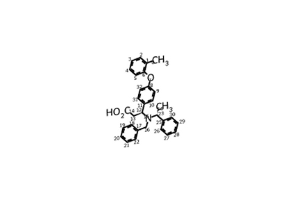 Cc1ccccc1Oc1ccc([C@H](CC(=O)O)N(Cc2ccccc2)[C@H](C)c2ccccc2)cc1